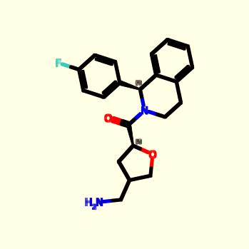 NCC1CO[C@H](C(=O)N2CCc3ccccc3[C@@H]2c2ccc(F)cc2)C1